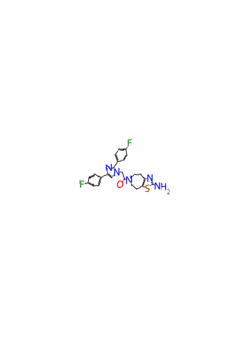 Nc1nc2c(s1)CCN(C(=O)Cn1cc(-c3ccc(F)cc3)nc1-c1ccc(F)cc1)CC2